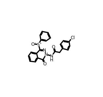 O=C(Cc1ccc(Cl)cc1)Nn1nc([S+]([O-])c2ccccc2)c2ccccc2c1=O